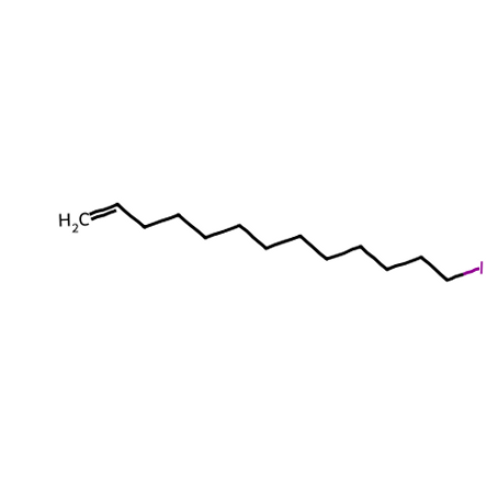 C=CCCCCCCCCCCCI